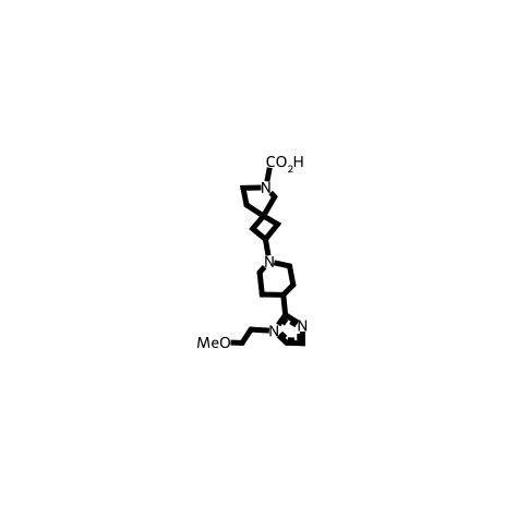 COCCn1ccnc1C1CCN(C2CC3(CCN(C(=O)O)C3)C2)CC1